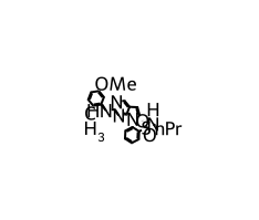 CCCNS(=O)(=O)c1ccccc1-n1ccc2cnc(Nc3cc(OC)ccc3C)nc21